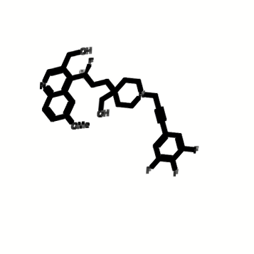 COc1ccc2ncc(CO)c([C@@H](F)CCC3(CO)CCN(CC#Cc4cc(F)c(F)c(F)c4)CC3)c2c1